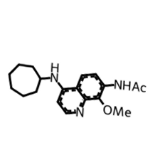 COc1c(NC(C)=O)ccc2c(NC3CCCCCC3)ccnc12